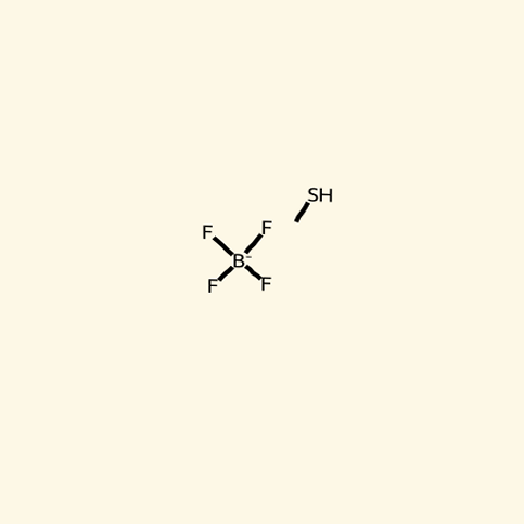 CS.F[B-](F)(F)F